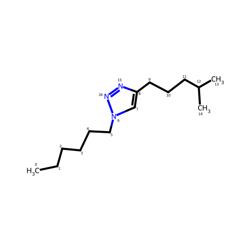 CCCCCCn1cc(CCCC(C)C)nn1